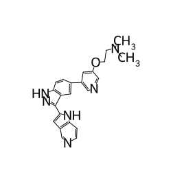 CN(C)CCOc1cncc(-c2ccc3[nH]nc(-c4cc5cnccc5[nH]4)c3c2)c1